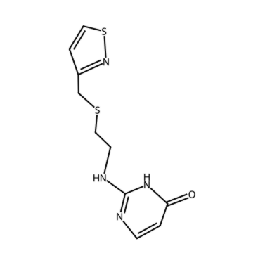 O=c1ccnc(NCCSCc2ccsn2)[nH]1